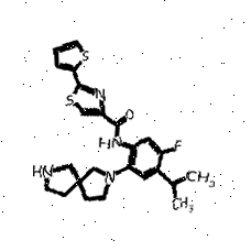 CC(C)c1cc(N2CCC3(CCNC3)C2)c(NC(=O)c2csc(-c3cccs3)n2)cc1F